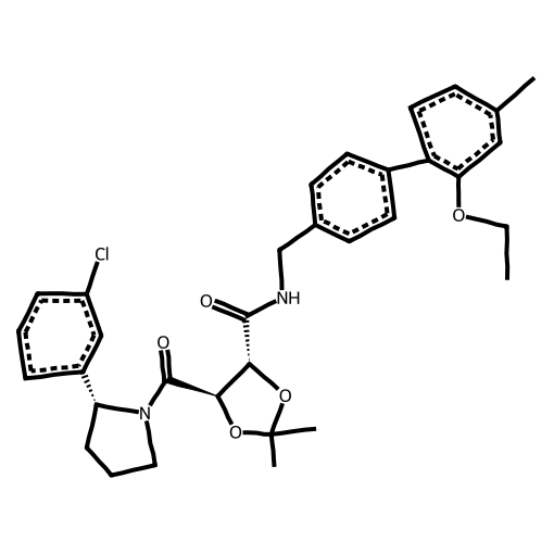 CCOc1cc(C)ccc1-c1ccc(CNC(=O)[C@@H]2OC(C)(C)O[C@H]2C(=O)N2CCC[C@@H]2c2cccc(Cl)c2)cc1